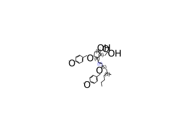 CCCC[C@H](C)C[C@@H](/C=C/[C@H]1C(OCc2ccc(OC)cc2)C[C@H](O)[C@@H]1CC(=O)O)OCc1ccc(OC)cc1